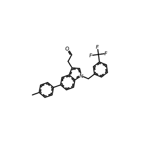 Cc1ccc(-c2ccc3c(c2)c(CC=O)cn3Cc2cccc(C(F)(F)F)c2)cc1